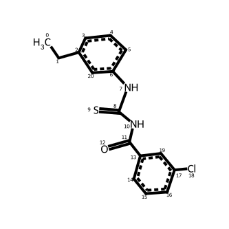 CCc1cccc(NC(=S)NC(=O)c2cccc(Cl)c2)c1